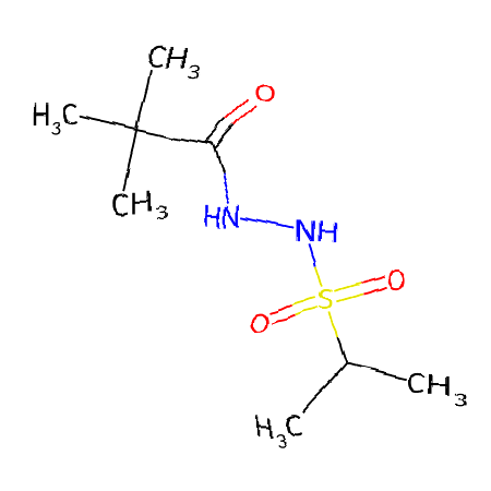 CC(C)S(=O)(=O)NNC(=O)C(C)(C)C